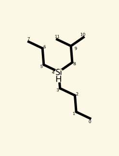 CCCC[SiH](CCC)CC(C)C